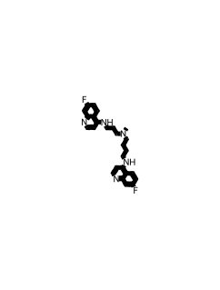 CN(CCCCNc1ccnc2cc(F)ccc12)CCCNc1ccnc2cc(F)ccc12